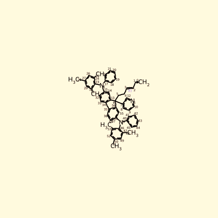 C=C/C=C/CCC1(c2cccnc2)c2cc(N(c3ccccc3)c3c(C)cc(C)cc3C)ccc2-c2ccc(N(c3ccccc3)c3c(C)cc(C)cc3C)cc21